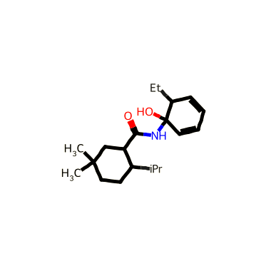 CCC1C=CC=CC1(O)NC(=O)C1CC(C)(C)CCC1C(C)C